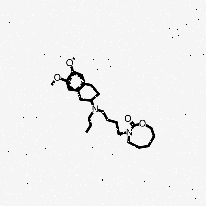 CCCN(CCCCN1CCCCCOC1=O)C1CCc2cc(OC)c(OC)cc2C1